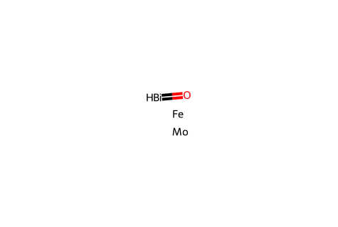 [Fe].[Mo].[O]=[BiH]